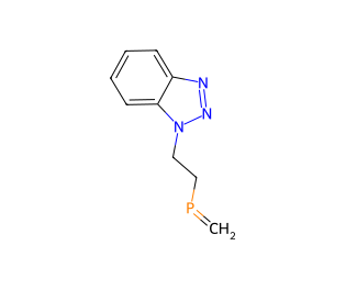 C=PCCn1nnc2ccccc21